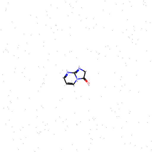 O=C1CN=C2N=CC=CN12